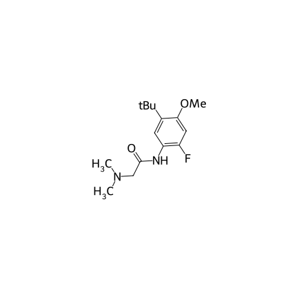 COc1cc(F)c(NC(=O)CN(C)C)cc1C(C)(C)C